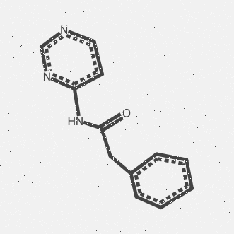 O=C(Cc1ccccc1)Nc1ccncn1